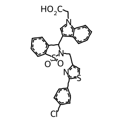 O=C(O)Cn1cc(C2c3ccccc3S(=O)(=O)N2Cc2csc(-c3ccc(Cl)cc3)n2)c2ccccc21